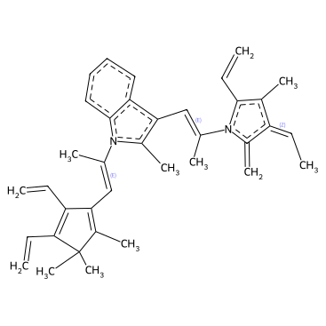 C=CC1=C(C=C)C(C)(C)C(C)=C1/C=C(\C)n1c(C)c(/C=C(\C)n2c(C=C)c(C)/c(=C/C)c2=C)c2ccccc21